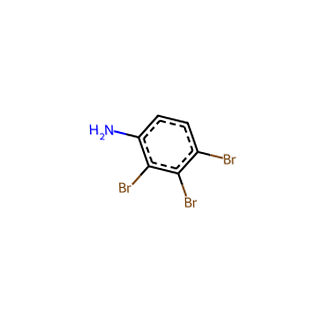 Nc1ccc(Br)c(Br)c1Br